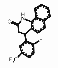 O=C1CC(c2cc(C(F)(F)F)ccc2F)c2ccc3ccccc3c2N1